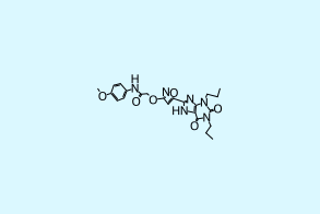 CCCn1c(=O)c2[nH]c(-c3cc(OCC(=O)Nc4ccc(OC)cc4)no3)nc2n(CCC)c1=O